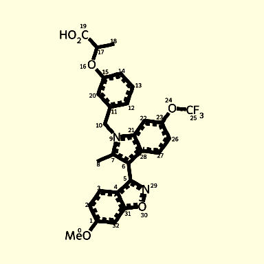 COc1ccc2c(-c3c(C)n(Cc4cccc(OC(C)C(=O)O)c4)c4cc(OC(F)(F)F)ccc34)noc2c1